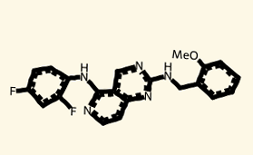 COc1ccccc1CNc1ncc2c(Nc3ccc(F)cc3F)nccc2n1